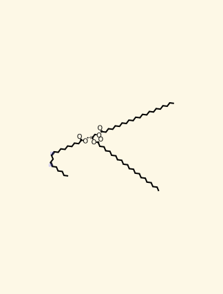 CCCCC/C=C\C/C=C\CCCCCCCC(=O)OC[C@H](COC(=O)CCCCCCCCCCCCCCCCCCCCC)OC(=O)CCCCCCCCCCCCCCCCCCCCC